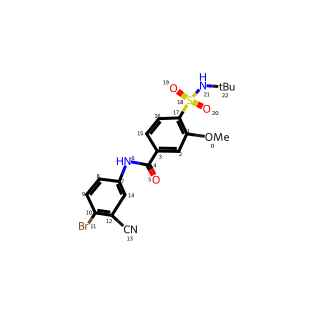 COc1cc(C(=O)Nc2ccc(Br)c(C#N)c2)ccc1S(=O)(=O)NC(C)(C)C